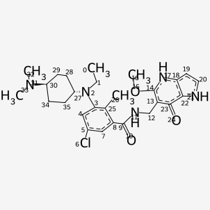 CCN(c1cc(Cl)cc(C(=O)NCc2c(OC)[nH]c3cc[nH]c3c2=O)c1C)[C@H]1CC[C@H](N(C)C)CC1